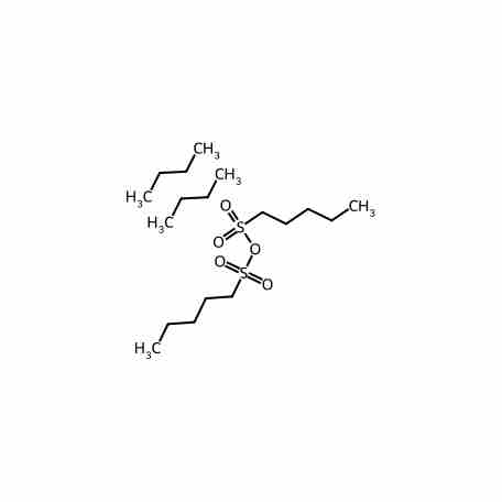 CCCC.CCCC.CCCCCS(=O)(=O)OS(=O)(=O)CCCCC